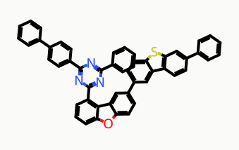 c1ccc(-c2ccc(-c3nc(-c4ccccc4)nc(-c4cccc5oc6ccc(-c7ccc8sc9cc(-c%10ccccc%10)ccc9c8c7)cc6c45)n3)cc2)cc1